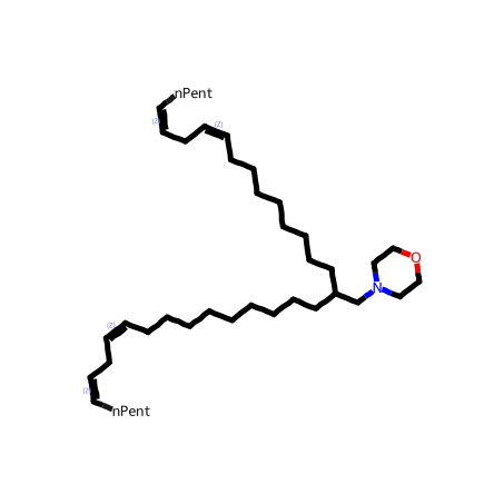 CCCCC/C=C\C/C=C\CCCCCCCCCC(CCCCCCCC/C=C\C/C=C\CCCCC)CN1CCOCC1